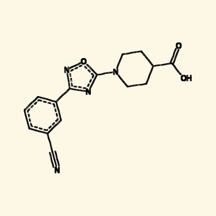 N#Cc1cccc(-c2noc(N3CCC(C(=O)O)CC3)n2)c1